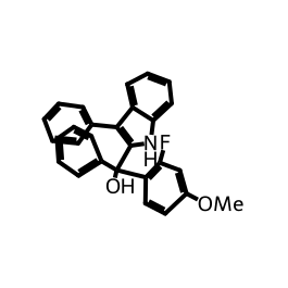 COc1ccc(C(O)(c2ccccc2)c2[nH]c3ccccc3c2-c2ccccc2)c(F)c1